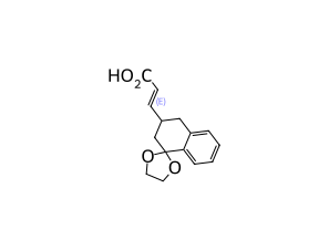 O=C(O)/C=C/C1Cc2ccccc2C2(C1)OCCO2